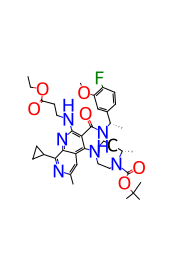 CCOC(=O)CCNc1nc2c(C3CC3)nc(C)cc2c(N2CC[C@H](C)N(C(=O)OC(C)(C)C)CC2)c1C(=O)N[C@@H](C)c1ccc(F)c(OC)c1